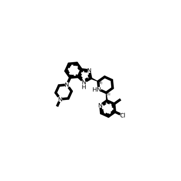 Cc1c(Cl)ccnc1[C@@H]1CCC[C@H](c2nc3cccc(N4CCN(C)CC4)c3[nH]2)N1